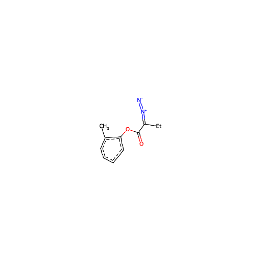 CCC(=[N+]=[N-])C(=O)Oc1ccccc1C